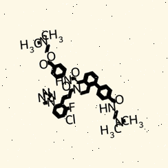 CN(C)CCNC(=O)c1ccc(-c2cccc3c2CCN(C(=O)C=Cc2c(-n4cnnn4)ccc(Cl)c2F)[C@H]3C(=O)Nc2ccc(C(=O)OCCN(C)C)cc2)cc1